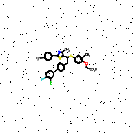 Cc1cc(SC(Cc2ccc(C3C=CC(F)=C(Cl)C3)cc2)c2sc(-c3ccc(C(F)(F)F)cc3)nc2C)ccc1OCC(=O)O